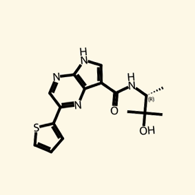 C[C@@H](NC(=O)c1c[nH]c2ncc(-c3cccs3)nc12)C(C)(C)O